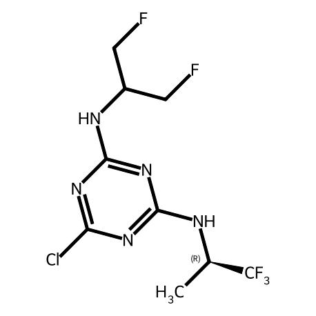 C[C@@H](Nc1nc(Cl)nc(NC(CF)CF)n1)C(F)(F)F